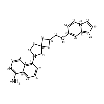 Nc1nccc2c(N3CCC4(CC(COc5ccn6ccnc6c5)C4)C3)cccc12